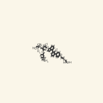 C[C@@](CO)(NCc1cc(Cl)c(O[C@H]2CCc3c(-c4cccc(-c5ccc(OCCNCCO)cc5)c4Cl)cccc32)nc1OCc1cncc(S(C)(=O)=O)c1)C(=O)O